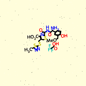 COCc1cc(C(N)C(=O)NC2C(=O)N3C(C(=O)O)=C(CSc4nnc(C)s4)CSC23)ccc1O.O=C(O)C(F)(F)F